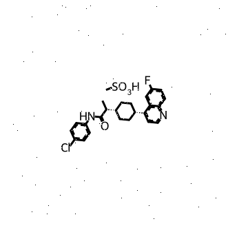 CC(C(=O)Nc1ccc(Cl)cc1)[C@H]1CC[C@@H](c2ccnc3ccc(F)cc32)CC1.CS(=O)(=O)O